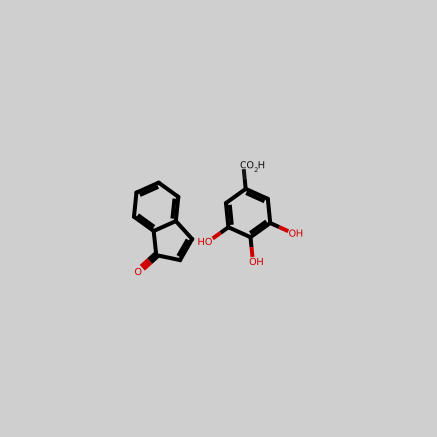 O=C(O)c1cc(O)c(O)c(O)c1.O=C1C=Cc2ccccc21